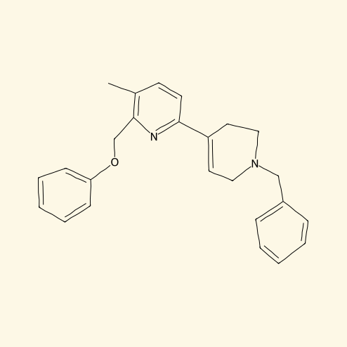 Cc1ccc(C2=CCN(Cc3ccccc3)CC2)nc1COc1ccccc1